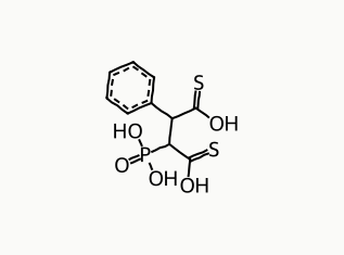 O=P(O)(O)C(C(O)=S)C(C(O)=S)c1ccccc1